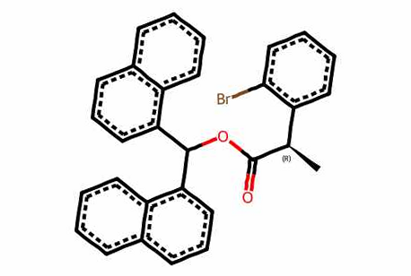 C[C@@H](C(=O)OC(c1cccc2ccccc12)c1cccc2ccccc12)c1ccccc1Br